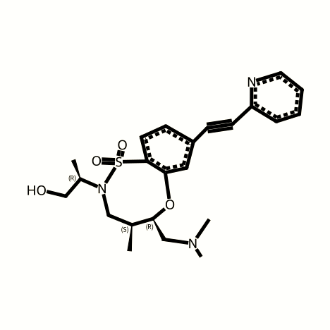 C[C@H](CO)N1C[C@H](C)[C@H](CN(C)C)Oc2cc(C#Cc3ccccn3)ccc2S1(=O)=O